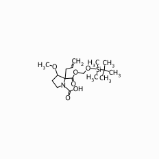 C=CCC1(C(=O)OCO[Si](C)(C)C(C)(C)C)C(OC)CCN1C(=O)O